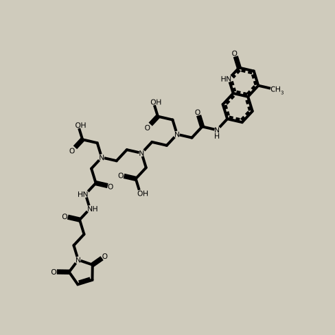 Cc1cc(=O)[nH]c2cc(NC(=O)CN(CCN(CCN(CC(=O)O)CC(=O)NNC(=O)CCN3C(=O)C=CC3=O)CC(=O)O)CC(=O)O)ccc12